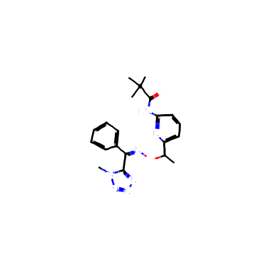 CC(ON=C(c1ccccc1)c1nnnn1C)c1cccc(NC(=O)C(C)(C)C)n1